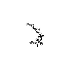 CCCN(C)S(=O)(=O)CC(C)(C)OCPCOC(C)C